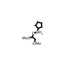 COCC(OC)O[SiH2]C1CCCC1